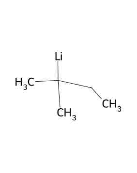 [Li][C](C)(C)CC